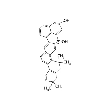 CC1(C)C=CC2=C(C1)CC(C)(C)c1c2ccc2cc(-c3cccc4cc(O)cc(C(=O)O)c34)ccc12